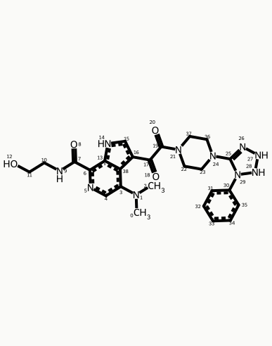 CN(C)c1cnc(C(=O)NCCO)c2[nH]cc(C(=O)C(=O)N3CCN(C4=NNNN4c4ccccc4)CC3)c12